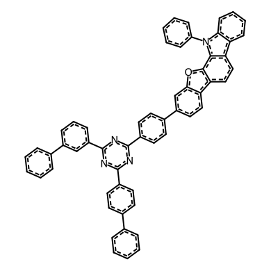 c1ccc(-c2ccc(-c3nc(-c4ccc(-c5ccc6c(c5)oc5c6ccc6c7ccccc7n(-c7ccccc7)c65)cc4)nc(-c4cccc(-c5ccccc5)c4)n3)cc2)cc1